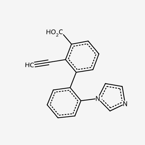 C#Cc1c(C(=O)O)cccc1-c1ccccc1-n1ccnc1